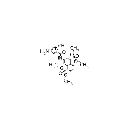 CCOP(=O)(OCC)c1cc(NC(=O)c2cc(N)cn2C)cc2c(P(=O)(OCC)OCC)cccc12